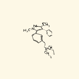 Cc1nn(C)c(-c2cccc(CCN(C)C)c2)c1-c1ccccc1